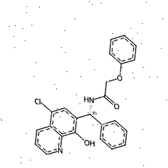 O=C(COc1ccccc1)N[C@H](c1ccccc1)c1cc(Cl)c2cccnc2c1O